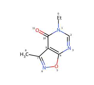 CCn1cnc2onc(C)c2c1=O